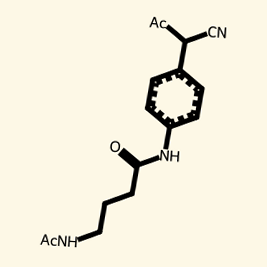 [CH2]C(=O)NCCCC(=O)Nc1ccc(C(C#N)C(C)=O)cc1